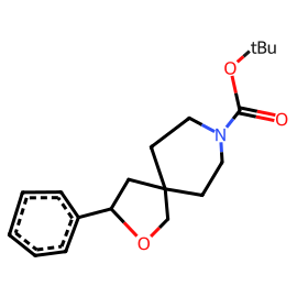 CC(C)(C)OC(=O)N1CCC2(CC1)COC(c1ccccc1)C2